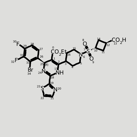 CCOC(=O)C1=C(C2CCN(S(=O)(=O)[C@H]3C[C@H](C(=O)O)C3)CC2)NC(c2nccs2)=N[C@H]1c1ccc(F)c(F)c1Br